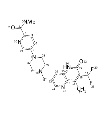 CNC(=O)c1ccc(N2CCN(Cc3cnc4c(C)c(C(F)F)c(=O)[nH]c4c3)CC2)cn1